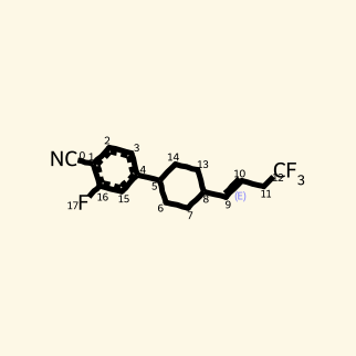 N#Cc1ccc(C2CCC(/C=C/CC(F)(F)F)CC2)cc1F